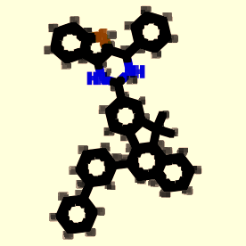 CC1(C)c2cc(C3Nc4c(sc5ccccc45)C(c4ccccc4)N3)ccc2-c2c(-c3cccc(-c4ccccc4)c3)cc3ccccc3c21